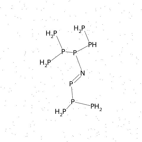 PPP(/N=P/P(P)P)P(P)P